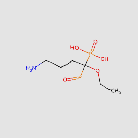 CCOC(CCCN)(P=O)P(=O)(O)O